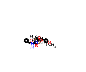 COc1ccc(COC(=O)[C@]2(SC)N3C(=O)[C@@H](NC(=O)Cc4ccccc4)[C@H]3SC2(C)C)cc1